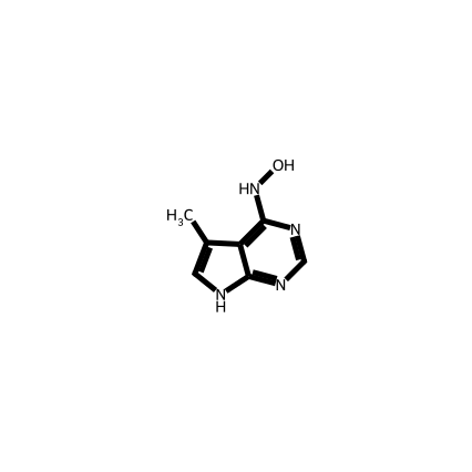 Cc1c[nH]c2ncnc(NO)c12